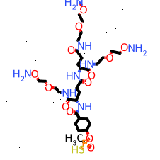 CP(=O)(S)OC1CCC(C(=O)NC(CCC(=O)NC(CCC(=O)NCCOCCON)C(=O)NCCOCCON)C(=O)NCCOCCON)CC1